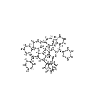 c1ccc(-c2cc(N(c3ccccc3)c3ccccc3)cc(C3(c4cc(-c5ccccc5)cc(N(c5ccccc5)c5ccccc5)c4)c4ccccc4-c4ccccc43)c2)cc1